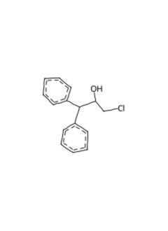 OC(CCl)C(c1ccccc1)c1ccccc1